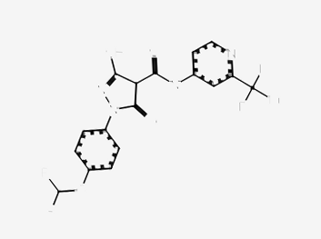 CCC(F)(F)c1cc(NC(=O)C2C(=O)N(c3ccc(OC(F)F)cc3)N=C2C)ccn1